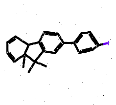 CC1(C)c2cc(-c3ccc(I)cc3)ccc2C2C=CC=CC21C